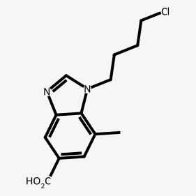 Cc1cc(C(=O)O)cc2ncn(CCCCCl)c12